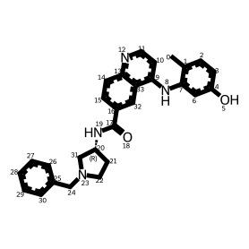 Cc1ccc(O)cc1Nc1ccnc2ccc(C(=O)N[C@@H]3CCN(Cc4ccccc4)C3)cc12